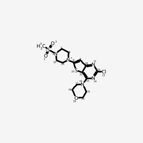 CS(=O)(=O)N1CCN(c2cc3nc(Cl)nc(N4CCOCC4)c3s2)CC1